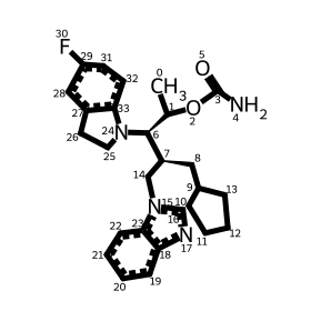 CC(OC(N)=O)[C@@H]([C@@H](CC1CCCC1)Cn1cnc2ccccc21)N1CCc2cc(F)ccc21